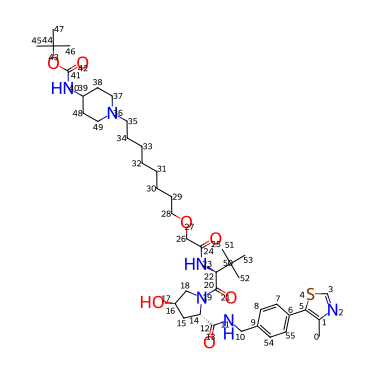 Cc1ncsc1-c1ccc(CNC(=O)[C@@H]2C[C@@H](O)CN2C(=O)[C@@H](NC(=O)COCCCCCCCCN2CCC(NC(=O)OC(C)(C)C)CC2)C(C)(C)C)cc1